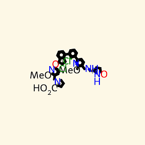 COc1nc(-c2cccc(-c3cccc4c3CC[C@@H]4Oc3nc(OC)c(CN4CCC[C@@H]4C(=O)O)cc3Cl)c2Cl)ccc1CNC[C@@H]1CCC(=O)N1